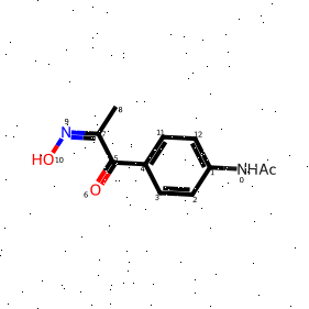 CC(=O)Nc1ccc(C(=O)/C(C)=N\O)cc1